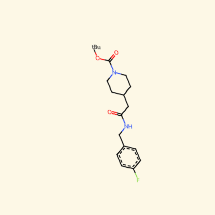 CC(C)(C)OC(=O)N1CCC(CC(=O)NCc2ccc(F)cc2)CC1